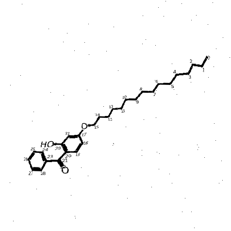 CCCCCCCCCCCCCCCCOc1ccc(C(=O)c2ccccc2)c(O)c1